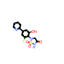 O=C1CN(c2c(O)cc(-c3ccccn3)cc2F)S(=O)(=O)N1